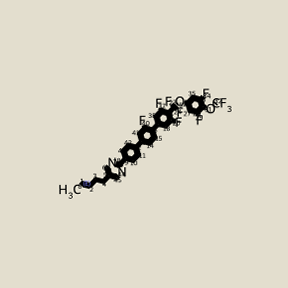 C/C=C/CCc1cnc(-c2ccc(-c3ccc(-c4cc(F)c(C(F)(F)Oc5cc(F)c(OC(F)(F)F)c(F)c5)c(F)c4)c(F)c3)cc2)nc1